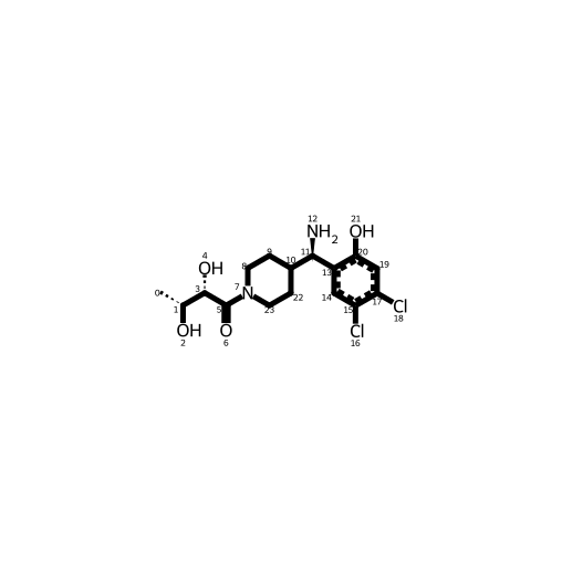 C[C@@H](O)[C@H](O)C(=O)N1CCC([C@@H](N)c2cc(Cl)c(Cl)cc2O)CC1